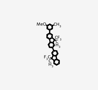 COc1cc(C)cc(-c2ccc3c(c2)C(C)(C(F)(F)F)c2cc(-c4ccc5c(c4)C(C)(C(F)(F)F)c4ccccc4-5)ccc2-3)c1